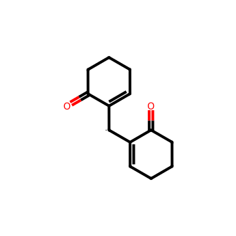 O=C1CCCC=C1[CH]C1=CCCCC1=O